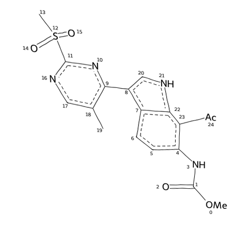 COC(=O)Nc1ccc2c(-c3nc(S(C)(=O)=O)ncc3C)c[nH]c2c1C(C)=O